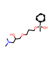 CN(C)CC(O)COCCCO[Si](C)(O)c1ccccc1